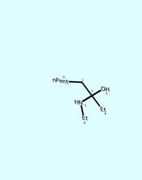 CCCCCCC(O)(CC)NCC